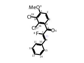 COc1ccc(C(=O)/C(F)=C/c2ccccc2)c(Cl)c1Cl